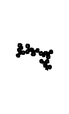 CC1(C)c2ccccc2-c2c1ccc1c2c2ccc(-c3ccc4c(c3)c3c5oc6ccc(-c7cccc(-n8c9ccccc9c9c%10c%11ccc(-c%12ccc%13c(c%12)c%12c%14oc%15ccccc%15c%14ccc%12n%13-c%12ccccc%12)cc%11n(-c%11ccccc%11)c%10ccc98)c7)cc6c5ccc3n4-c3ccccc3)cc2n1-c1ccccc1